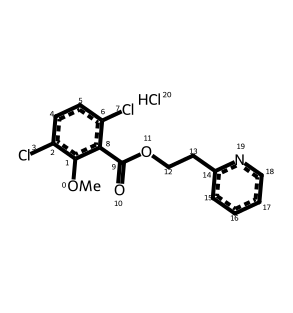 COc1c(Cl)ccc(Cl)c1C(=O)OCCc1ccccn1.Cl